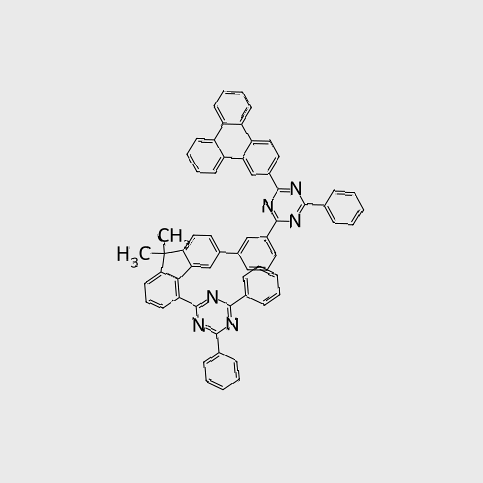 CC1(C)c2ccc(-c3cccc(-c4nc(-c5ccccc5)nc(-c5ccc6c7ccccc7c7ccccc7c6c5)n4)c3)cc2-c2c(-c3nc(-c4ccccc4)nc(-c4ccccc4)n3)cccc21